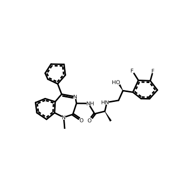 C[C@H](NC[C@@H](O)c1cccc(F)c1F)C(=O)NC1N=C(c2ccccc2)c2ccccc2N(C)C1=O